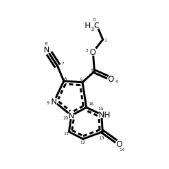 CCOC(=O)c1c(C#N)nn2ccc(=O)[nH]c12